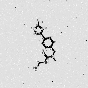 CN(Cc1ccc(-c2noc(C(F)(F)F)n2)cc1)C(=O)NCC#N